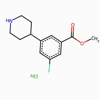 COC(=O)c1cc(F)cc(C2CCNCC2)c1.Cl